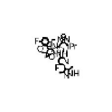 Cc1n[nH]c(C)c1-c1ncc(NC(=O)[C@@H](NC(=O)c2nonc2C(C)C)C2c3c(F)ccc(F)c3OCC23CC3)cc1F